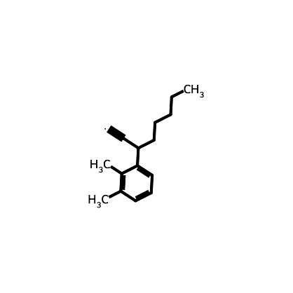 [C]#CC(CCCCC)c1cccc(C)c1C